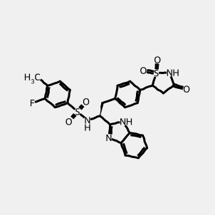 Cc1ccc(S(=O)(=O)N[C@@H](Cc2ccc(C3CC(=O)NS3(=O)=O)cc2)c2nc3ccccc3[nH]2)cc1F